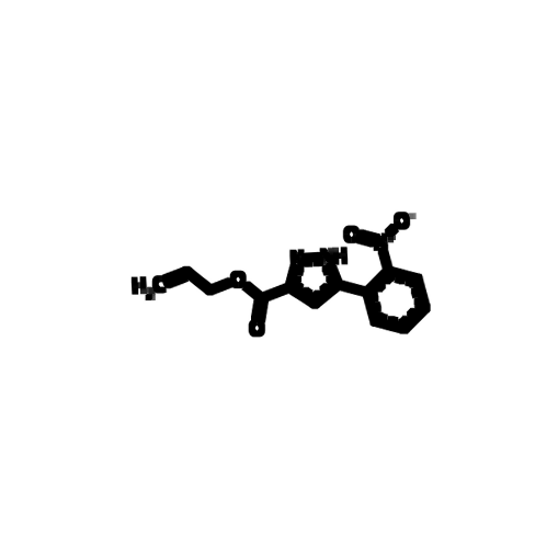 C=CCOC(=O)c1cc(-c2ccccc2[N+](=O)[O-])[nH]n1